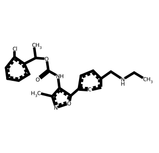 CCNCc1ccc(-c2onc(C)c2NC(=O)OC(C)c2ccccc2Cl)cc1